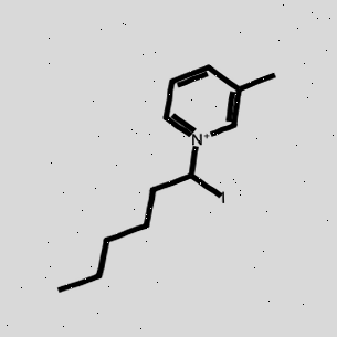 CCCCCC(I)[n+]1cccc(C)c1